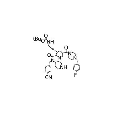 CC(C)(C)OC(=O)NCC#Cc1cc(C(=O)N2CCN(Cc3ccc(F)cc3)CC2)cnc1C(=O)N(Cc1ccc(C#N)cc1)C1CCNCC1